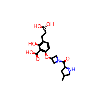 CC1CNC(C(=O)N2CC(Oc3ccc(CCB(O)O)c(O)c3C(=O)O)C2)C1